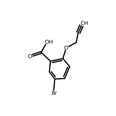 C#CCOc1ccc(Br)cc1C(=O)O